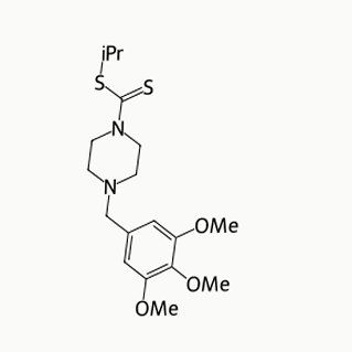 COc1cc(CN2CCN(C(=S)SC(C)C)CC2)cc(OC)c1OC